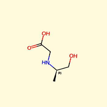 C[C@H](CO)NCC(=O)O